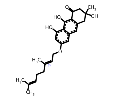 CC(C)=CCC/C(C)=C/COc1cc(O)c2c(O)c3c(cc2c1)CC(C)(O)CC3=O